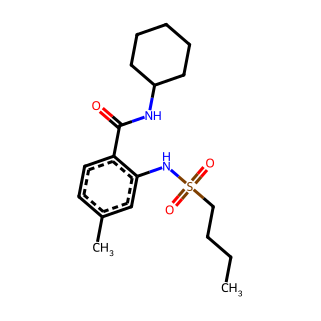 CCCCS(=O)(=O)Nc1cc(C)ccc1C(=O)NC1CCCCC1